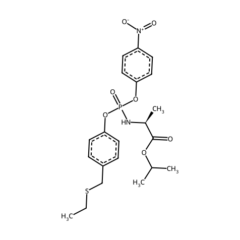 CCSCc1ccc(OP(=O)(N[C@@H](C)C(=O)OC(C)C)Oc2ccc([N+](=O)[O-])cc2)cc1